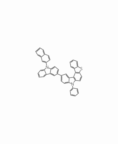 c1ccc(-n2c3ccc(-c4ccc5c(c4)c4ccccc4n5-c4ccc5ccccc5c4)cc3c3c4c(ccc32)sc2ccccc24)cc1